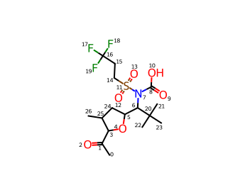 CC(=O)C1OC(C(N(C(=O)O)S(=O)(=O)CCC(F)(F)F)C(C)(C)C)CC1C